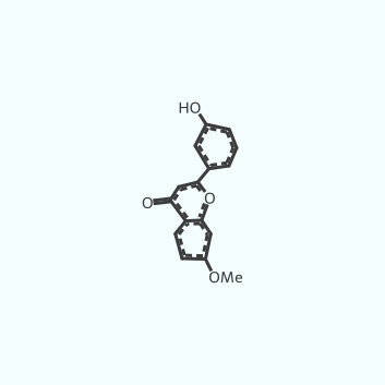 COc1ccc2c(=O)cc(-c3cccc(O)c3)oc2c1